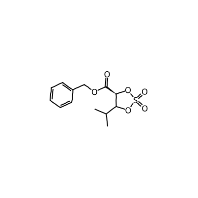 CC(C)C1OS(=O)(=O)O[C@@H]1C(=O)OCc1ccccc1